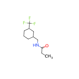 CCC(=O)NCC1CCCC(C(F)(F)F)C1